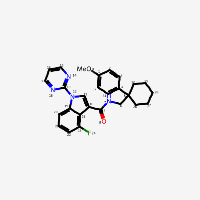 COc1ccc(C2(CNC(=O)c3cn(-c4ncccn4)c4cccc(F)c34)CCCCC2)cc1